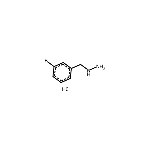 Cl.NNCc1cccc(F)c1